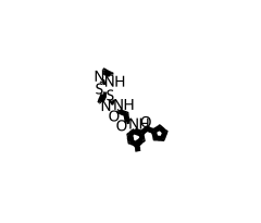 Cc1ccc(NC(=O)CC(=O)Nc2ncc(Sc3ncc[nH]3)s2)c(C(=O)C2CCCC2)c1